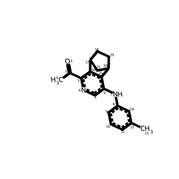 CC(=O)c1ncc(Nc2cccc(C)c2)c2c1C1CCC2C1